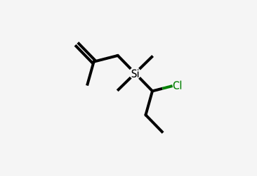 C=C(C)C[Si](C)(C)C(Cl)CC